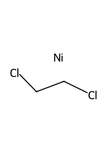 ClCCCl.[Ni]